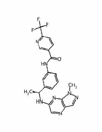 C[C@H](Nc1cnc2cnn(C)c2n1)c1cccc(NC(=O)c2ccc(C(F)(F)F)nc2)c1